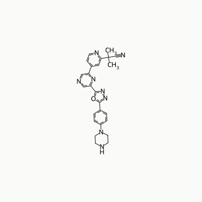 CC(C)(C#N)c1cc(-c2cncc(-c3nnc(-c4ccc(N5CCNCC5)cc4)o3)n2)ccn1